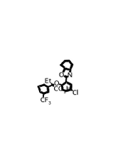 CCC(Oc1ccc(Cl)cc1-c1nc2ccccc2o1)(C(=O)O)c1cccc(C(F)(F)F)c1